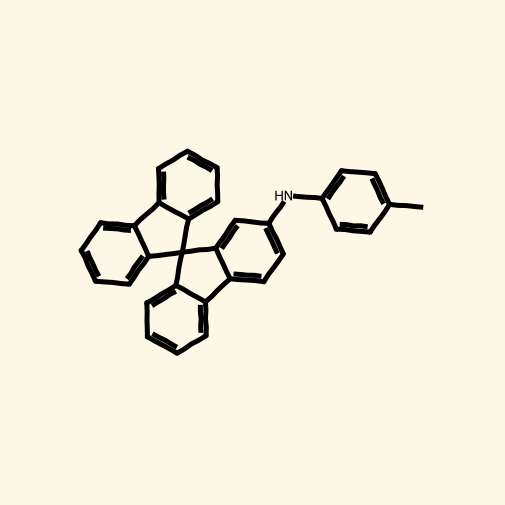 Cc1ccc(Nc2ccc3c(c2)C2(c4ccccc4-c4ccccc42)c2ccccc2-3)cc1